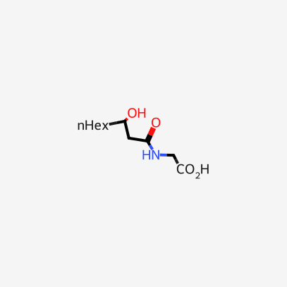 CCCCCCC(O)CC(=O)NCC(=O)O